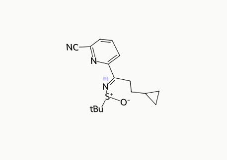 CC(C)(C)[S+]([O-])/N=C(\CCC1CC1)c1cccc(C#N)n1